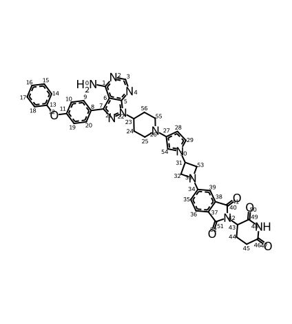 Nc1ncnc2c1c(-c1ccc(Oc3ccccc3)cc1)nn2C1CCN(c2ccn(C3CN(c4ccc5c(c4)C(=O)N(C4CCC(=O)NC4=O)C5=O)C3)c2)CC1